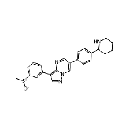 C[S+]([O-])c1cccc(-c2cnn3cc(-c4ccc(C5CCCCN5)cc4)cnc23)c1